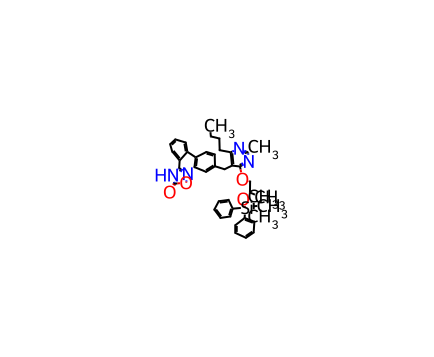 CCCCc1nc(C)nc(OCC(C)O[Si](c2ccccc2)(c2ccccc2)C(C)(C)C)c1Cc1ccc(-c2ccccc2-c2noc(=O)[nH]2)cc1